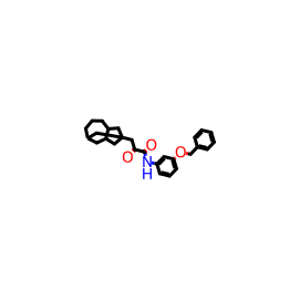 O=C(CC12CC3CCCC(C1)C(C3)C2)C(=O)Nc1cccc(OCc2ccccc2)c1